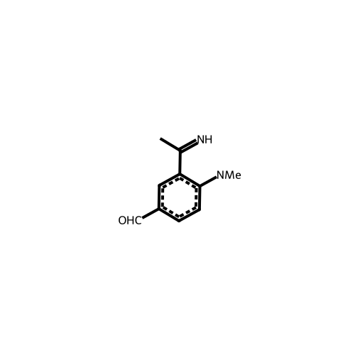 CNc1ccc(C=O)cc1C(C)=N